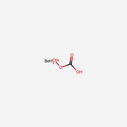 O=C(O)OO.[BeH2]